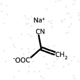 C=C(C#N)C(=O)[O-].[Na+]